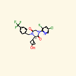 O=C1[C@@H](C23CC(O)(C2)C3)N(Cc2ccc(C(F)(F)F)cc2)C(=O)CN1c1ncc(Cl)cc1F